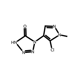 Cn1ncc(-n2nn[nH]c2=O)c1Cl